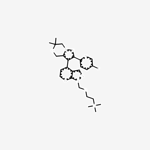 CC1(C)Cn2nc(-c3ccc(F)cn3)c(-c3ccnc4c3cnn4COCC[Si](C)(C)C)c2CO1